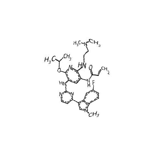 C=CC(=O)Nc1cc(Nc2nccc(-c3cn(C)c4ccc(F)cc34)n2)c(OC(C)C)nc1NCCN(C)C